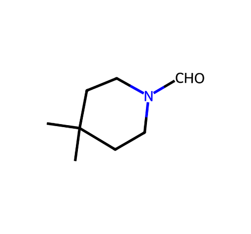 CC1(C)CCN(C=O)CC1